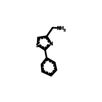 NCc1csc(-c2ccccc2)n1